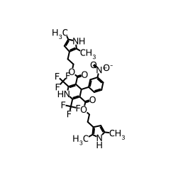 Cc1cc(CCOC(=O)C2=C(C(F)(F)F)NC(C(F)(F)F)=C(C(=O)OCCc3cc(C)[nH]c3C)C2c2cccc([N+](=O)[O-])c2)c(C)[nH]1